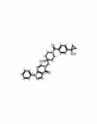 O=C(c1ccc(C2(O)CC2)cc1)N1CCC(O)(Cn2cnc3c(cnn3-c3ccccc3)c2=O)CC1